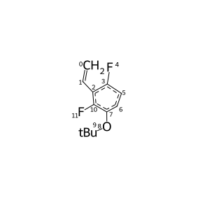 C=Cc1c(F)ccc(OC(C)(C)C)c1F